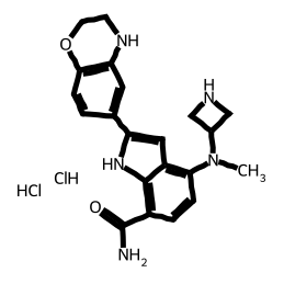 CN(c1ccc(C(N)=O)c2[nH]c(-c3ccc4c(c3)NCCO4)cc12)C1CNC1.Cl.Cl